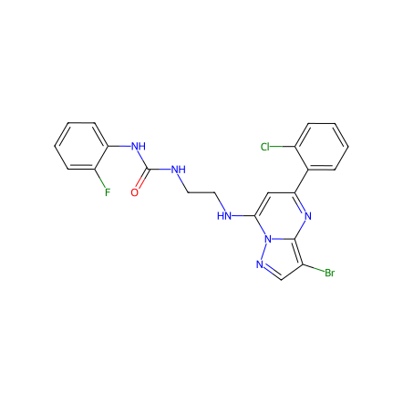 O=C(NCCNc1cc(-c2ccccc2Cl)nc2c(Br)cnn12)Nc1ccccc1F